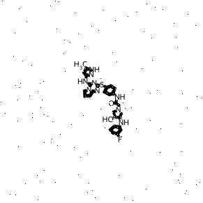 Cc1cc(Nc2nc(Sc3ccc(NC(=O)CN4C[C@H](Nc5cccc(F)c5)[C@@H](O)C4)cc3)nc3cccn23)n[nH]1